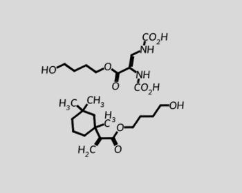 C=C(C(=O)OCCCCO)C1(C)CCCC(C)(C)C1.O=C(O)NC=C(NC(=O)O)C(=O)OCCCCO